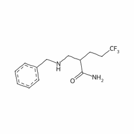 NC(=O)C(CCC(F)(F)F)CNCc1ccccc1